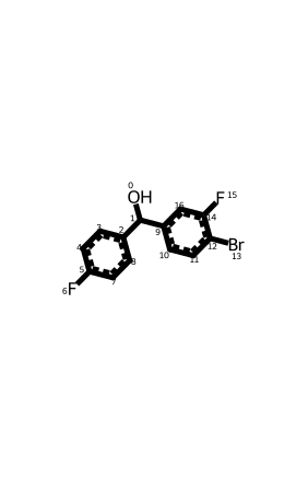 OC(c1ccc(F)cc1)c1ccc(Br)c(F)c1